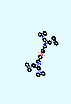 O=S(=O)(c1ccc(-c2ccc(-n3c4ccc(-n5c6ccccc6c6ccccc65)cc4c4cc(-n5c6ccccc6c6ccccc65)ccc43)nc2)cc1)c1ccc(-c2ccc(-n3c4ccc(-n5c6ccccc6c6ccccc65)cc4c4cc(-n5c6ccccc6c6ccccc65)ccc43)nc2)cc1